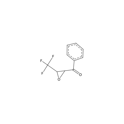 O=C(c1ccccc1)C1OC1C(F)(F)F